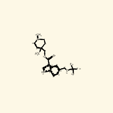 CN1CCC(C)(COC(=O)c2c[nH]c3ccc(COC(F)(F)F)cc23)CC1